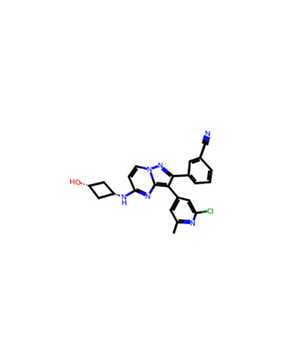 Cc1cc(-c2c(-c3cccc(C#N)c3)nn3ccc(N[C@H]4C[C@@H](O)C4)nc23)cc(Cl)n1